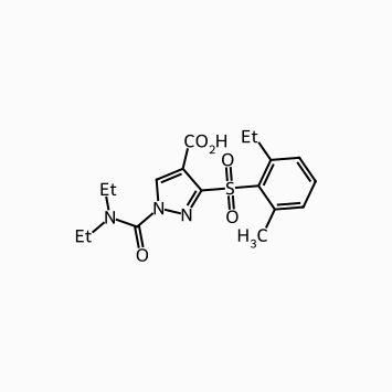 CCc1cccc(C)c1S(=O)(=O)c1nn(C(=O)N(CC)CC)cc1C(=O)O